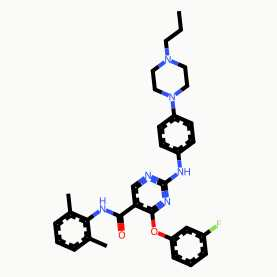 CCCN1CCN(c2ccc(Nc3ncc(C(=O)Nc4c(C)cccc4C)c(Oc4cccc(F)c4)n3)cc2)CC1